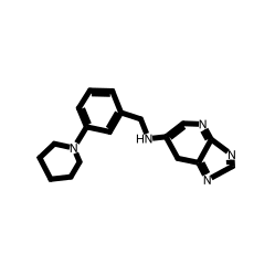 C1=NC2=NC=C(NCc3cccc(N4CCCCC4)c3)CC2=N1